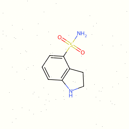 NS(=O)(=O)c1cccc2c1CCN2